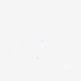 OC1CCC2CCOc3cc(C(F)(F)F)cnc3N2C1